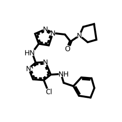 O=C(Cn1cc(Nc2ncc(Cl)c(NCC3=CCCC=C3)n2)cn1)N1CCCC1